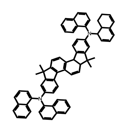 CC1(C)c2cc(N(c3cccc4ccccc34)c3cccc4ccccc34)ccc2-c2c1ccc1c2C=CC2C1c1ccc(N(c3cccc4ccccc34)C3C=CC=C4C=CCCC43)cc1C2(C)C